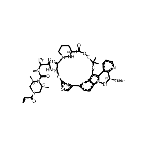 C=CC(=O)N1C[C@@H](C)N(C(=O)N(C)C(C(=O)N[C@H]2Cc3nc(cs3)-c3ccc4c(c3)c(c(-c3cccnc3[C@H](C)OC)n4CC)CC(C)(C)COC(=O)[C@@H]3CCCN(N3)C2=O)C(C)C)[C@@H](C)C1